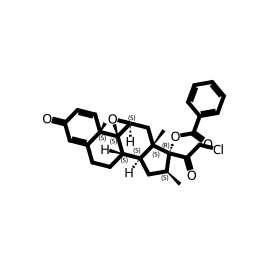 C[C@H]1C[C@H]2[C@@H]3CCC4=CC(=O)C=C[C@]4(C)[C@@]34O[C@H]4C[C@]2(C)[C@@]1(OC(=O)c1ccccc1)C(=O)CCl